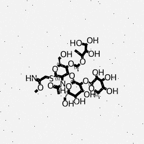 COC(=N)CS[C@@H]1O[C@@H](CO)C(O[C@@H](C)OC(C)C(O)C(O)O)C(O[C@@H]2O[C@@H](CO)C(O)C(O)C2O[C@@H]2O[C@@H](C)C(O)C(O)C2O)C1NC(C)=O